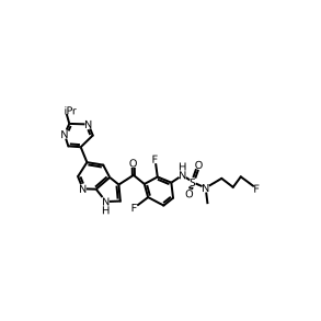 CC(C)c1ncc(-c2cnc3[nH]cc(C(=O)c4c(F)ccc(NS(=O)(=O)N(C)CCCF)c4F)c3c2)cn1